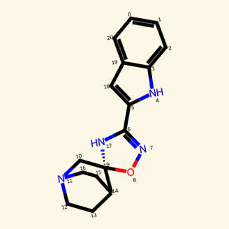 c1ccc2[nH]c(C3=NO[C@@]4(CN5CCC4CC5)N3)cc2c1